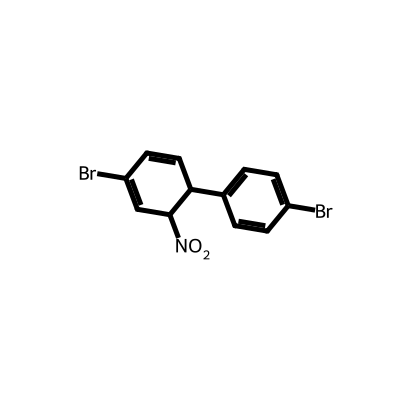 O=[N+]([O-])C1C=C(Br)C=CC1c1ccc(Br)cc1